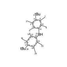 Cc1c(C)c(C(C)(C)C)c(C)c(C)c1Bc1c(C)c(C)c(C(C)(C)C)c(C)c1C